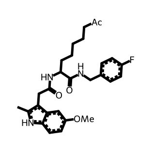 COc1ccc2[nH]c(C)c(CC(=O)NC(CCCCCC(C)=O)C(=O)NCc3ccc(F)cc3)c2c1